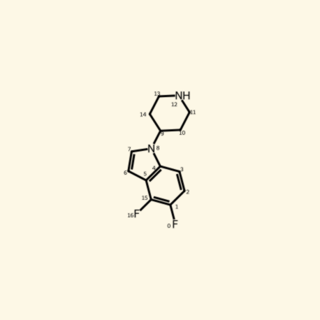 Fc1ccc2c(ccn2C2CCNCC2)c1F